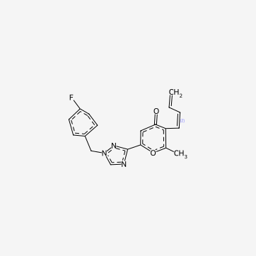 C=C/C=C\c1c(C)oc(-c2ncn(Cc3ccc(F)cc3)n2)cc1=O